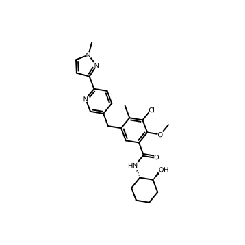 COc1c(C(=O)N[C@H]2CCCC[C@@H]2O)cc(Cc2ccc(-c3ccn(C)n3)nc2)c(C)c1Cl